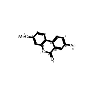 COc1ccc2c(c1)oc(=O)c1cc(C(C)=O)ccc12